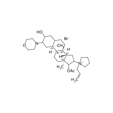 C=CC[N+]1(C2C[C@H]3[C@@H]4CCC5CC(O)C(N6CCOCC6)C[C@]5(C)[C@@H]4CC[C@]3(C)C2OC(C)=O)CCCC1.[Br-]